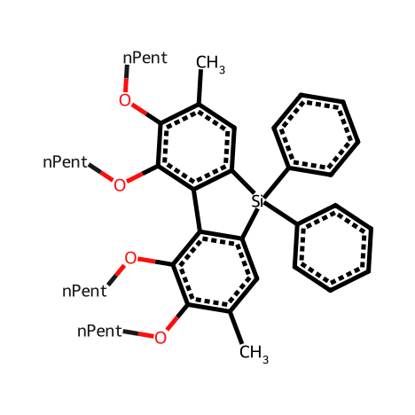 CCCCCOc1c(C)cc2c(c1OCCCCC)-c1c(cc(C)c(OCCCCC)c1OCCCCC)[Si]2(c1ccccc1)c1ccccc1